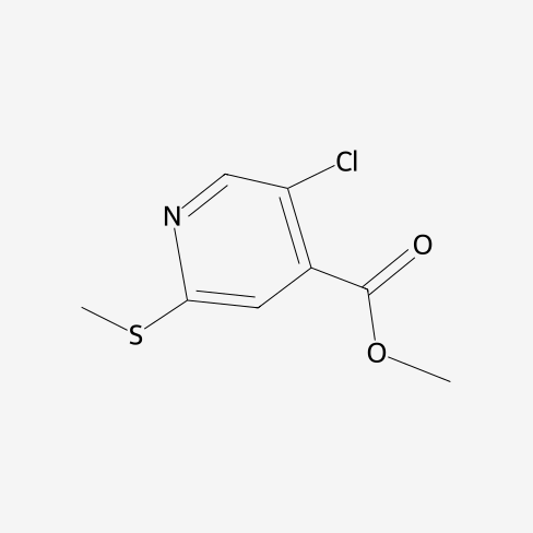 COC(=O)c1cc(SC)ncc1Cl